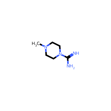 CN1CCN(C(=N)N)CC1